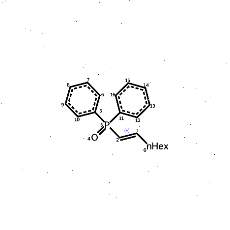 CCCCCC/C=C/P(=O)(c1ccccc1)c1ccccc1